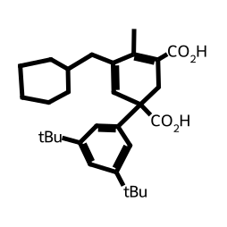 CC1=C(C(=O)O)CC(C(=O)O)(c2cc(C(C)(C)C)cc(C(C)(C)C)c2)C=C1CC1CCCCC1